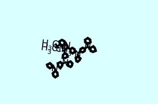 CC(C)(C)c1cccc2nc(-c3ccc(N(c4ccccc4)c4ccc(N(c5ccccc5)c5ccccc5)cc4)cc3)c(-c3ccc(N(c4ccccc4)c4ccc(N(c5ccccc5)c5ccccc5)cc4)cc3)nc12